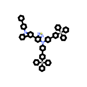 c1ccc(-c2ccc(-n3c4ccccc4c4cc(-c5ccc(N(c6ccc(-c7ccc([Si](c8ccccc8)(c8ccccc8)c8ccccc8)cc7)cc6)c6ccc(-c7ccc([Si](c8ccccc8)(c8ccccc8)c8ccccc8)cc7)cc6)c6nsnc56)ccc43)cc2)cc1